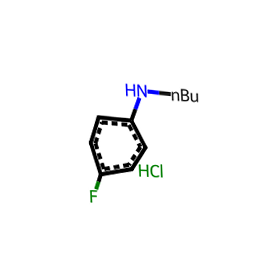 CCCCNc1ccc(F)cc1.Cl